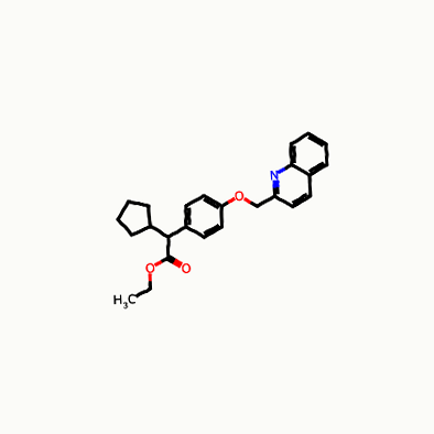 CCOC(=O)C(c1ccc(OCc2ccc3ccccc3n2)cc1)C1CCCC1